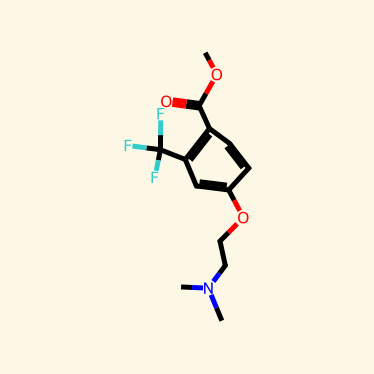 COC(=O)c1ccc(OCCN(C)C)cc1C(F)(F)F